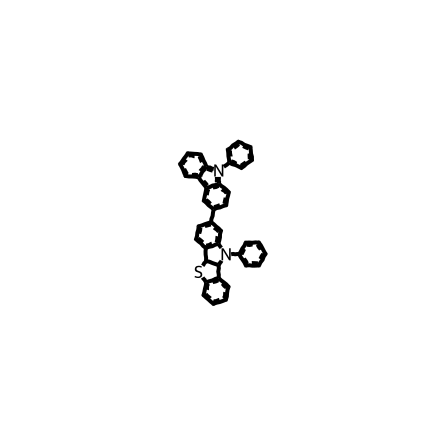 c1ccc(N2c3cc(-c4ccc5c(c4)c4ccccc4n5-c4ccccc4)ccc3C3Sc4ccccc4C32)cc1